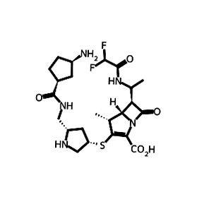 CC(NC(=O)C(F)F)[C@H]1C(=O)N2C(C(=O)O)=C(S[C@@H]3CN[C@H](CNC(=O)[C@H]4CC[C@@H](N)C4)C3)[C@H](C)[C@H]12